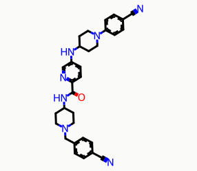 N#Cc1ccc(CN2CCC(NC(=O)c3ccc(NC4CCN(c5ccc(C#N)cc5)CC4)cn3)CC2)cc1